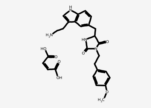 COc1ccc(CCN2C(=O)NC(Cc3ccc4[nH]cc(CCN)c4c3)C2=O)cc1.O=C(O)/C=C\C(=O)O